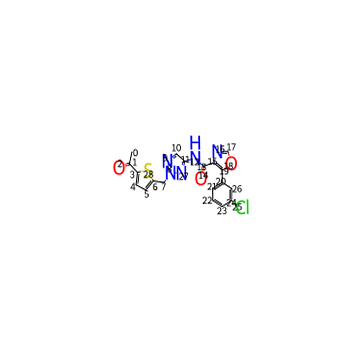 CC(=O)c1ccc(Cn2ncc(NC(=O)c3ncoc3-c3cccc(Cl)c3)n2)s1